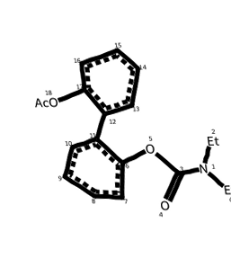 CCN(CC)C(=O)Oc1ccccc1-c1ccccc1OC(C)=O